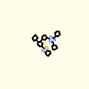 c1ccc(-c2nc(-c3ccccc3)nc(-c3cccc4c3sc3c(-c5nc6ccccc6o5)ccc(-c5ccccc5)c34)n2)cc1